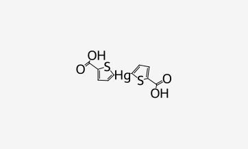 O=C(O)c1cc[c]([Hg][c]2ccc(C(=O)O)s2)s1